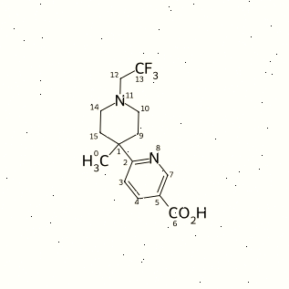 CC1(c2ccc(C(=O)O)cn2)CCN(CC(F)(F)F)CC1